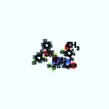 COc1ccc(Cn2cc(C(=C/C(=N\O)C(F)F)/N=C/SCCC(OCc3ccc(F)cc3F)c3ccccc3)ccc2=O)cc1F